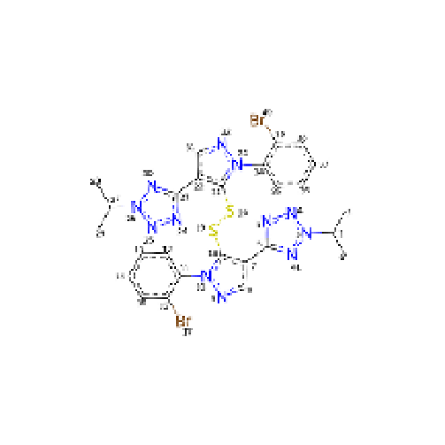 CC(C)n1nnc(-c2cnn(-c3ccccc3Br)c2SSc2c(-c3nnn(C(C)C)n3)cnn2-c2ccccc2Br)n1